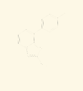 Nc1nc2c(-c3ccc(Cl)cc3)cccn2n1